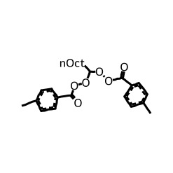 [CH2]CCCCCCC[C](OOC(=O)c1ccc(C)cc1)OOC(=O)c1ccc(C)cc1